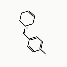 Fc1ccc(C[C@@H]2CC=CCC2)cc1